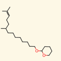 CC(C)=CCCC(C)CCCCCCCCOC1CCCCO1